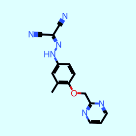 Cc1cc(NN=C(C#N)C#N)ccc1OCc1ncccn1